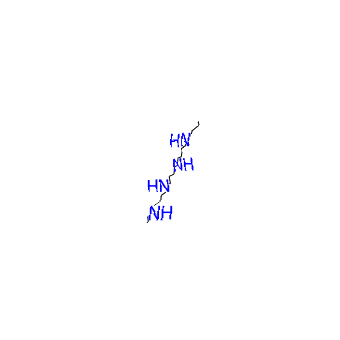 CCCCNCCCCNCCCCNCCCCNCC